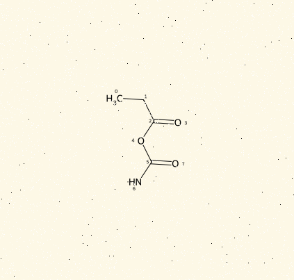 CCC(=O)OC([NH])=O